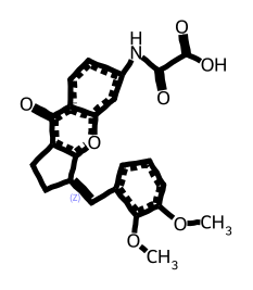 COc1cccc(/C=C2/CCc3c2oc2cc(NC(=O)C(=O)O)ccc2c3=O)c1OC